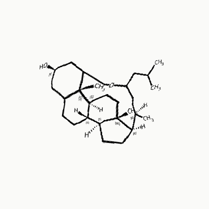 CC(C)CC1C[C@@H](C)[C@H]2CC[C@H]3[C@@H]4CCC5C[C@@H](O)CC(O1)[C@]5(C)[C@H]4CC[C@]23C